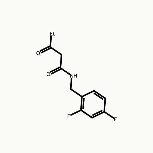 CCC(=O)CC(=O)NCc1ccc(F)cc1F